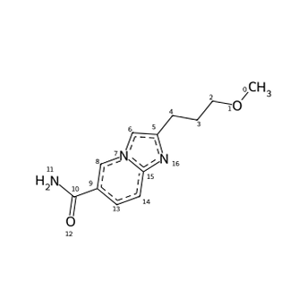 COCCCc1cn2cc(C(N)=O)ccc2n1